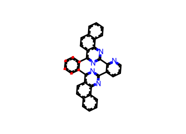 c1ccc(-c2nc(-c3cccnc3-c3nc(-c4ccccc4)c4ccc5ccccc5c4n3)nc3c2ccc2ccccc23)cc1